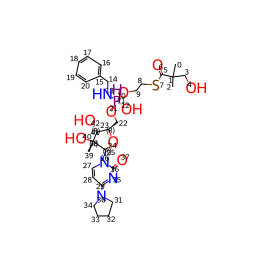 CC(C)(CO)C(=O)SCCO[PH](O)(NCc1ccccc1)OC[C@H]1O[C@@H](n2ccc(N3CCCC3)nc2=O)[C@](C)(O)[C@@H]1O